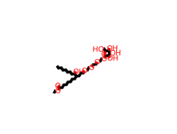 CCCCCCCCC(O)C(CCCCCCCC(=O)OCC)CCCOCCOCCOCCOC1OC(CO)C(O)C(O)C1O